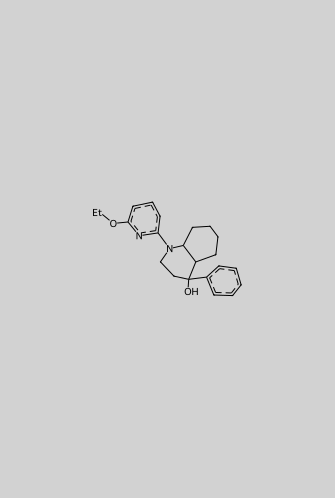 CCOc1cccc(N2CCC(O)(c3ccccc3)C3CCCCC32)n1